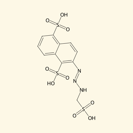 O=S(=O)(O)CNN=Nc1ccc2c(S(=O)(=O)O)cccc2c1S(=O)(=O)O